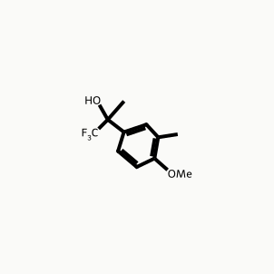 COc1ccc(C(C)(O)C(F)(F)F)cc1C